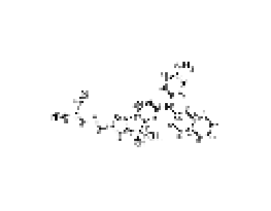 Cc1ccc(N(c2cnc3c(c2)C(C)(C)c2cc(/C=C/C=C(C#N)C#N)sc2-3)C2C=c3ccccc3=CC2)cc1